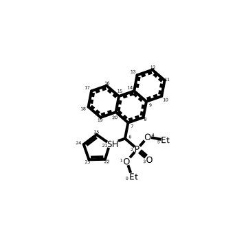 CCOP(=O)(OCC)C(c1cc2ccccc2c2ccccc12)[SH]1C=CC=C1